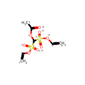 C=COS(=O)(=O)C(OC(C)=O)S(=O)(=O)OC=C